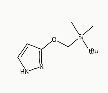 CC(C)(C)[Si](C)(C)COc1cc[nH]n1